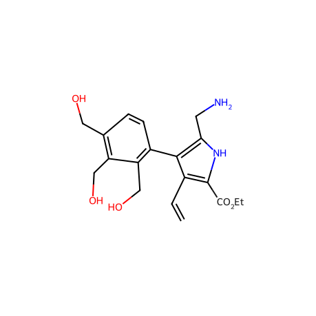 C=Cc1c(C(=O)OCC)[nH]c(CN)c1-c1ccc(CO)c(CO)c1CO